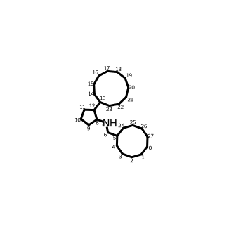 C1CCCCC(CNC2CCCC2C2CCCCCCCCCC2)CCCC1